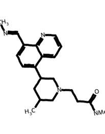 C/N=C/c1ccc(C2CC(C)CN(CCC(=O)NC)C2)c2cccnc12